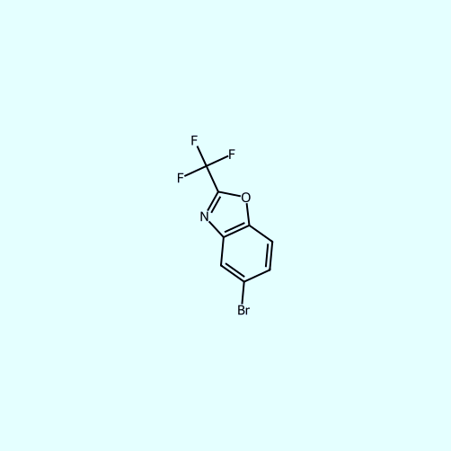 FC(F)(F)c1nc2cc(Br)ccc2o1